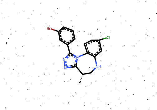 C[C@H]1CNc2cc(Cl)ccc2-n2c(-c3cccc(Br)c3)nnc21